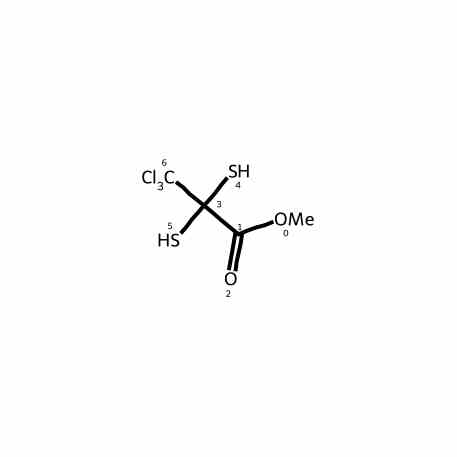 COC(=O)C(S)(S)C(Cl)(Cl)Cl